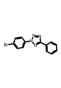 Brc1ccc(-n2nnc(-c3ccccc3)n2)cc1